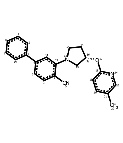 N#Cc1ccc(-c2ccccc2)cc1N1CC[C@H](Oc2ccc(C(F)(F)F)cn2)C1